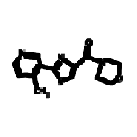 Cc1ccncc1-c1nc(C(=O)N2CCOCC2)cs1